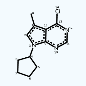 Cc1cn(C2CCCC2)c2ncnc(Cl)c12